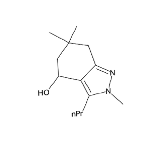 CCCc1c2c(nn1C)CC(C)(C)CC2O